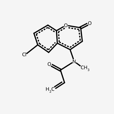 C=CC(=O)N(C)c1cc(=O)oc2ccc(Cl)cc12